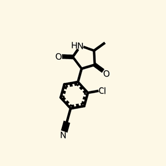 CC1NC(=O)C(c2ccc(C#N)cc2Cl)C1=O